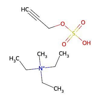 C#CCOS(=O)(=O)O.CC[N+](C)(CC)CC